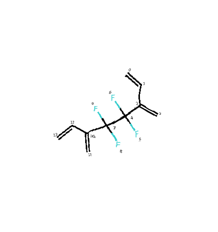 C=CC(=C)C(F)(F)C(F)(F)C(=C)C=C